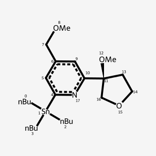 CCC[CH2][Sn]([CH2]CCC)([CH2]CCC)[c]1cc(COC)cc([C@]2(OC)CCOC2)n1